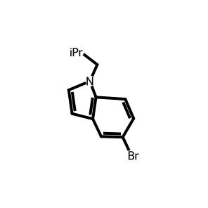 CC(C)Cn1ccc2cc(Br)ccc21